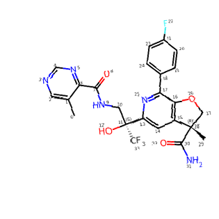 Cc1cncnc1C(=O)NC[C@](O)(c1cc2c(c(-c3ccc(F)cc3)n1)OC[C@]2(C)C(N)=O)C(F)(F)F